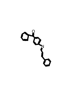 O=C(c1ccccc1)c1ccc(N=C/C=C/c2ccccc2)cc1